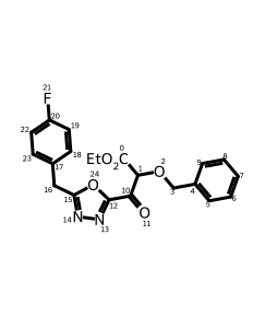 CCOC(=O)C(OCc1ccccc1)C(=O)c1nnc(Cc2ccc(F)cc2)o1